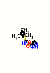 Cc1cc(C)c(CSCCNS(=O)(=O)c2n[nH]c3ncccc23)c(C)c1